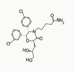 NC(=O)CCCCN1C(=O)[C@@H](C[C@H](O)CO)O[C@H](c2cccc(Cl)c2)[C@@H]1c1ccc(Cl)cc1